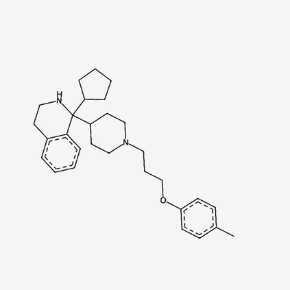 Cc1ccc(OCCCN2CCC(C3(C4CCCC4)NCCc4ccccc43)CC2)cc1